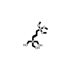 CO[Si](C/C=C/[Si](CO)(CO)CO)(OC)OC